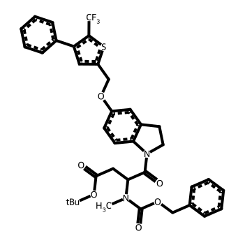 CN(C(=O)OCc1ccccc1)C(CC(=O)OC(C)(C)C)C(=O)N1CCc2cc(OCc3cc(-c4ccccc4)c(C(F)(F)F)s3)ccc21